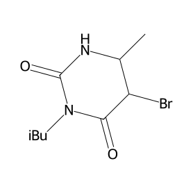 CCC(C)N1C(=O)NC(C)C(Br)C1=O